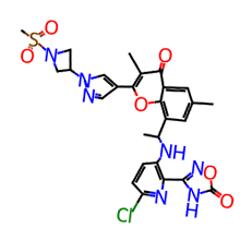 Cc1cc(C(C)Nc2ccc(Cl)nc2-c2noc(=O)[nH]2)c2oc(-c3cnn(C4CN(S(C)(=O)=O)C4)c3)c(C)c(=O)c2c1